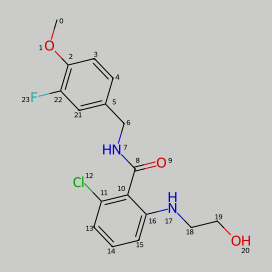 COc1ccc(CNC(=O)c2c(Cl)cccc2NCCO)cc1F